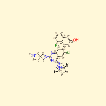 CN1CCC2(C1)CN(c1nc(N3C[C@H]4CC[C@@H](C3)N4)c3cc(Cl)c(-c4cc(O)cc5ccccc45)c(F)c3n1)C2